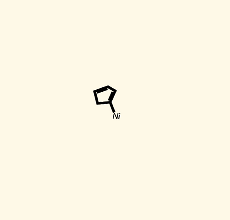 [Ni][C]1=CC=CC1